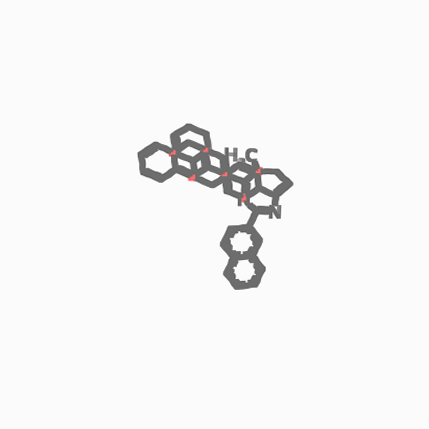 CC1C/C=C(C2C=CC(C3=CCC4C=CC=CC4=C3)=CC2)/N=C(c2ccc3ccccc3c2)\N=C/1C1=CC2CCC=CC2CC1